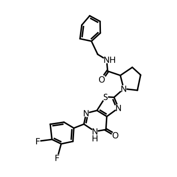 O=C(NCc1ccccc1)C1CCCN1c1nc2c(=O)[nH]c(-c3ccc(F)c(F)c3)nc2s1